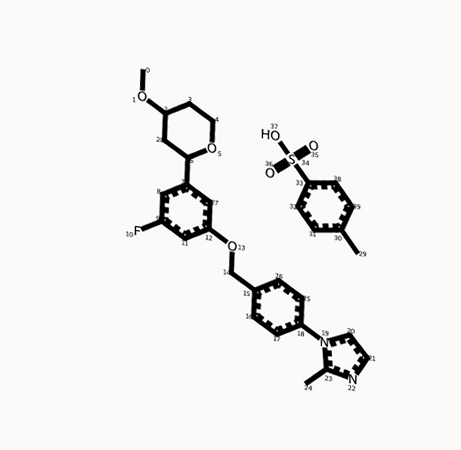 COC1CCOC(c2cc(F)cc(OCc3ccc(-n4ccnc4C)cc3)c2)C1.Cc1ccc(S(=O)(=O)O)cc1